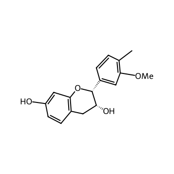 COc1cc([C@H]2Oc3cc(O)ccc3C[C@H]2O)ccc1C